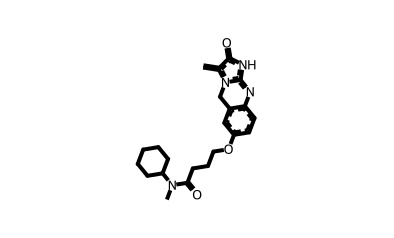 C=c1c(=O)[nH]c2n1Cc1cc(OCCCC(=O)N(C)C3CCCCC3)ccc1N=2